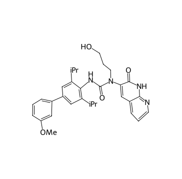 COc1cccc(-c2cc(C(C)C)c(NC(=O)N(CCCO)c3cc4cccnc4[nH]c3=O)c(C(C)C)c2)c1